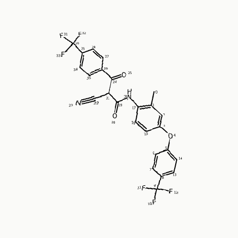 Cc1cc(Oc2ccc(C(F)(F)F)cc2)ccc1NC(=O)C(C#N)C(=O)c1ccc(C(F)(F)F)cc1